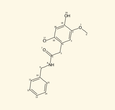 COc1cc(CC(=O)NCc2ccccc2)c(Cl)cc1O